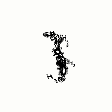 C=CC(=O)OCCN(CC)c1ccc(/N=N/c2sc3cc(OC)ccc3[n+]2C)cc1